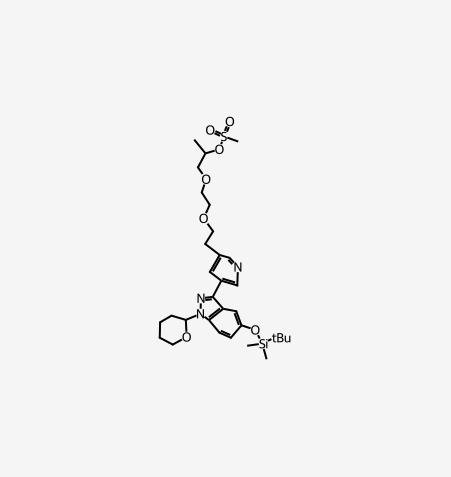 CC(COCCOCCc1cncc(-c2nn(C3CCCCO3)c3ccc(O[Si](C)(C)C(C)(C)C)cc23)c1)OS(C)(=O)=O